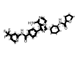 Nc1nccn2c([C@H]3CCC[C@H](NC(=O)C4CCCO4)C3)nc(-c3ccc(C(=O)Nc4cc(C(F)(F)F)ccn4)cc3)c12